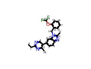 CCc1ncc(-c2ccc3nc(C)n(Cc4ccccc4OC(F)F)c3c2)c(C)n1